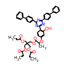 C=CC(=O)OCC(COC(=O)C=C)(COC(=O)C=C)COC(=O)C(C)Oc1ccc(-c2nc(-c3ccc(-c4ccccc4)cc3)nc(-c3ccc(-c4ccccc4)cc3)n2)c(O)c1